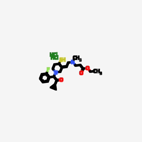 CCOC(=O)CCN(C)C/C=C1/CN(C(C(=O)C2CC2)c2ccccc2F)CCC1S.Cl.Cl